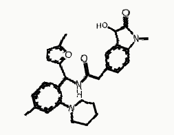 Cc1ccc(C(NC(=O)Cc2ccc3c(c2)C(O)C(=O)N3C)c2ccc(C)o2)c(N2CCCCC2)c1